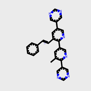 Cc1cc(-c2ncc(-c3cncnc3)cc2/C=C/c2ccccc2)cnc1-c1cncnc1